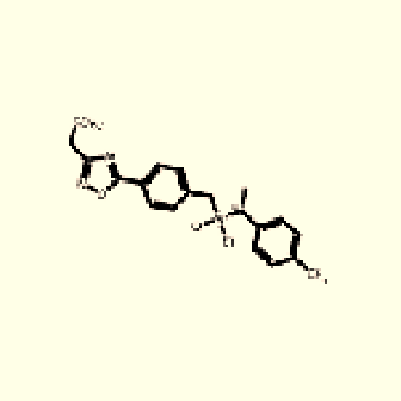 CCCCCCCCCCCc1noc(-c2ccc(C[N+]([O-])(CC)[C@@H](C)c3ccc(C(F)(F)F)cc3)cc2)n1